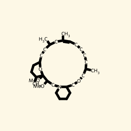 COC1CN2CCCCC2COCC(C)CCCCC=C(C)CC(C)CCC2CCC(C)C1(OC)O2